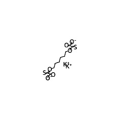 O=S([O-])(=S)OCCCCCCOS(=O)([O-])=S.[K+].[K+]